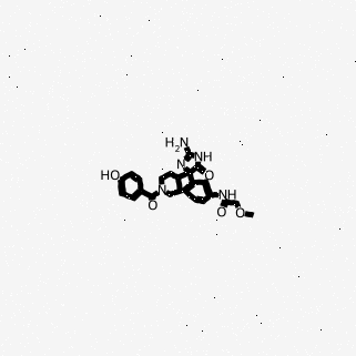 COCC(=O)Nc1cccc(C2(C3CCN(C(=O)c4ccc(O)cc4)CC3)N=C(N)NC2=O)c1